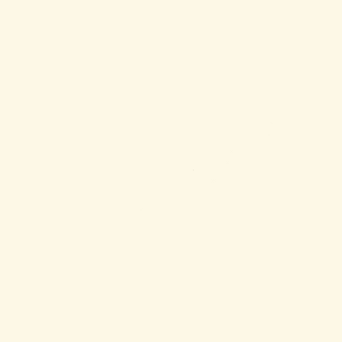 O=C(O)c1cccc(OCCCCCCc2cccc(OCc3ccccc3)c2OCc2ccccc2)c1